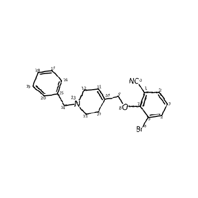 N#Cc1cccc(Br)c1OCC1=CCN(Cc2ccccc2)CC1